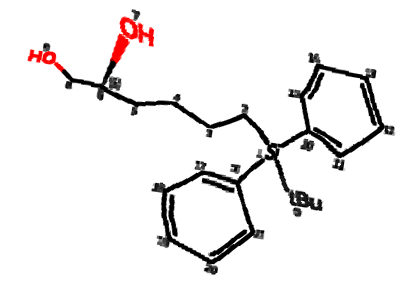 CC(C)(C)[Si](CCCC[C@H](O)CO)(c1ccccc1)c1ccccc1